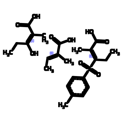 C/C=C(\C)C(=O)O.CC/C(=C(/C)C(=O)O)S(=O)(=O)c1ccc(C)cc1.CC/C(O)=C(/C)C(=O)O